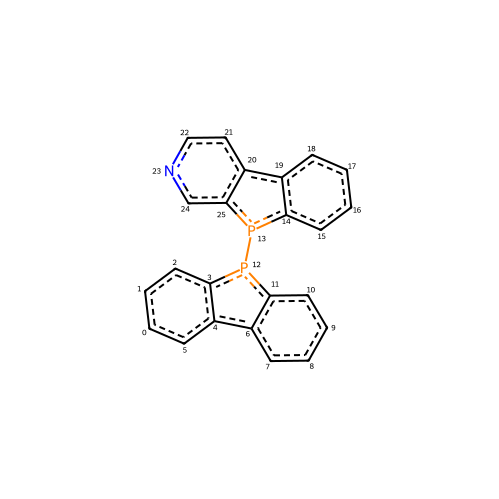 c1ccc2c(c1)c1ccccc1p2-p1c2ccccc2c2ccncc21